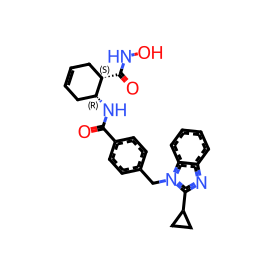 O=C(N[C@@H]1CC=CC[C@@H]1C(=O)NO)c1ccc(Cn2c(C3CC3)nc3ccccc32)cc1